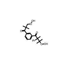 CC(C)C(C)(C(=O)c1cccc(C(=O)C(C)(C)COO)c1)C(C)(C)OO